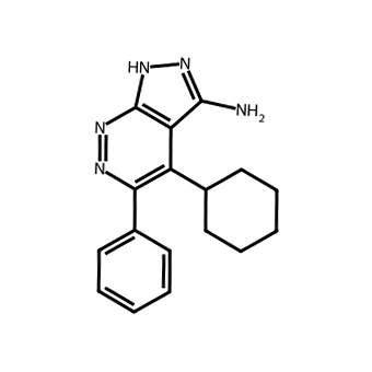 Nc1n[nH]c2nnc(-c3ccccc3)c(C3CCCCC3)c12